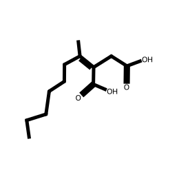 CCCCCCC(C)=C(CC(=O)O)C(=O)O